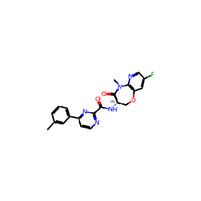 Cc1cccc(-c2ccnc(C(=O)N[C@H]3COc4cc(F)cnc4N(C)C3=O)n2)c1